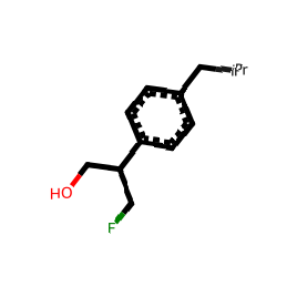 CC(C)Cc1ccc(C(CO)CF)cc1